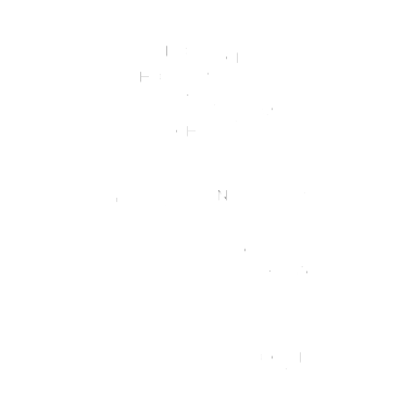 CC1(C)C(C(=O)c2cn(CC3CCOCC3)c3c(OC(=O)C=CC(=O)O)cccc23)C1(C)C